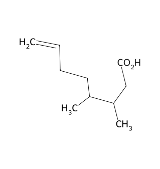 C=CCCC(C)C(C)CC(=O)O